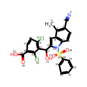 Cc1c(C#N)ccc2c1cc(C(O)c1c(Cl)ccc(C(=O)O)c1Cl)n2S(=O)(=O)c1ccccc1